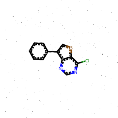 Clc1ncnc2c(-c3ccccc3)csc12